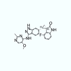 COc1cnc(C)nc1Nc1n[nH]c2cc([C@@H]3C[C@@]34C(=O)Nc3cccc(F)c34)ccc12